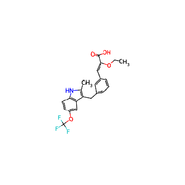 CCO/C(=C\c1cccc(Cc2c(C)[nH]c3ccc(OC(F)(F)F)cc23)c1)C(=O)O